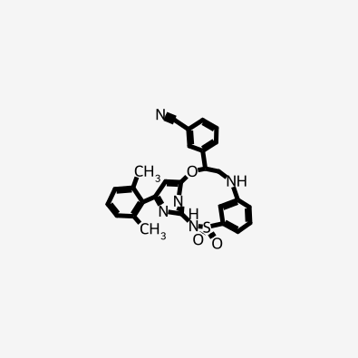 Cc1cccc(C)c1-c1cc2nc(n1)NS(=O)(=O)c1cccc(c1)NCC(c1cccc(C#N)c1)O2